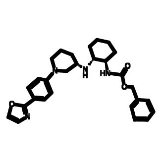 O=C(N[C@@H]1CCCC[C@H]1N[C@H]1CCCN(c2ccc(-c3ncco3)cc2)C1)OCc1ccccc1